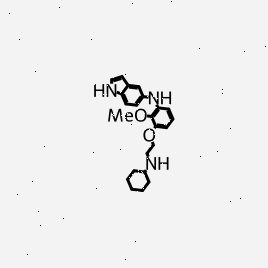 COc1c(Nc2ccc3[nH]ccc3c2)cccc1OCCNC1CCCCC1